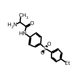 CCc1ccc(S(=O)(=O)c2ccc(NC(=O)C(C)N)cc2)cc1